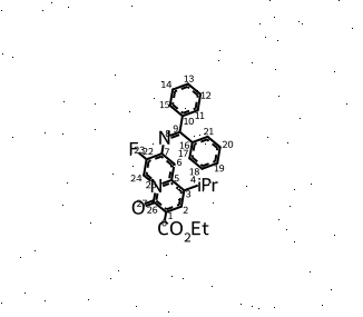 CCOC(=O)c1cc(C(C)C)c2cc(N=C(c3ccccc3)c3ccccc3)c(F)cn2c1=O